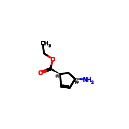 CCOC(=O)[C@H]1C=C[C@@H](N)C1